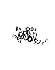 CCc1csc([C@H](Cc2ccc(NS(=O)(=O)O)cc2)NC(=O)[C@@H](C(=O)OC(C)(C)C)C(C)C)n1